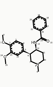 COc1ccc([C@@H]2CN(C)CC[C@@H]2NC(=O)c2ccccc2)cc1OC